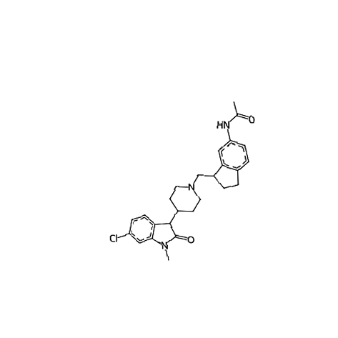 CC(=O)Nc1ccc2c(c1)C(CN1CCC(C3C(=O)N(C)c4cc(Cl)ccc43)CC1)CC2